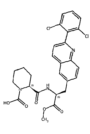 COC(=O)[C@H](Cc1ccc2nc(-c3c(Cl)cccc3Cl)ccc2c1)NC(=O)[C@@H]1CCCCN1C(=O)O